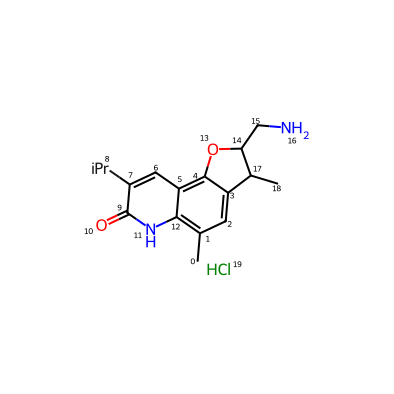 Cc1cc2c(c3cc(C(C)C)c(=O)[nH]c13)OC(CN)C2C.Cl